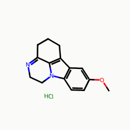 COc1ccc2c(c1)c1c3n2CCN=C3CCC1.Cl